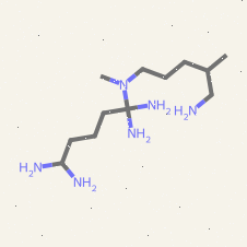 CC(CN)CCCN(C)C(N)(N)CCCC(N)N